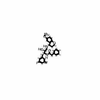 CC(C)(C)Oc1ccc2c(c1)[C@@H](NC[C@H](O)[C@H](Cc1cc(F)cc(F)c1)NC(=O)Cc1ccccc1)CCO2